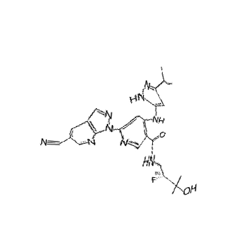 CC(C)c1cc(Nc2cc(-n3ncc4cc(C#N)cnc43)ncc2C(=O)NC[C@@H](F)C(C)(C)O)[nH]n1